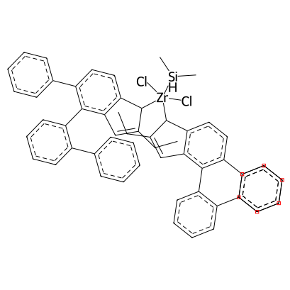 CCC1=Cc2c(ccc(-c3ccccc3)c2-c2ccccc2-c2ccccc2)[CH]1[Zr]([Cl])([Cl])([CH]1C(CC)=Cc2c1ccc(-c1ccccc1)c2-c1ccccc1-c1ccccc1)[SiH](C)C